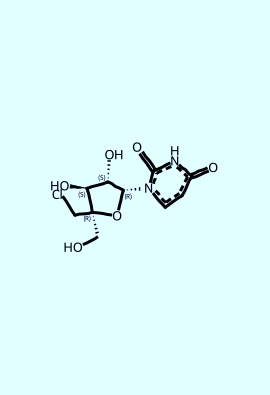 O=c1ccn([C@@H]2O[C@@](CO)(CCl)[C@@H](O)[C@@H]2O)c(=O)[nH]1